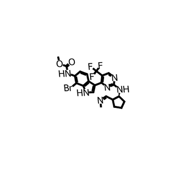 C/N=C\C1CCC[C@@H]1Nc1ncc(C(F)(F)F)c(-c2c[nH]c3c(Br)c(NC(=O)OC)ccc23)n1